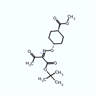 COC(=O)[C@H]1CC[C@H](O/N=C(/C(C)=O)C(=O)OC(C)(C)C)CC1